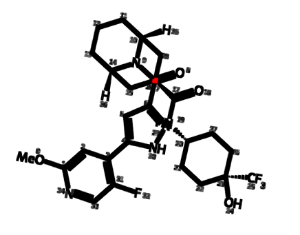 COc1cc(-c2cc(C(=O)N3[C@@H]4CCC[C@H]3C[C@H](C(=O)N[C@H]3CC[C@@](O)(C(F)(F)F)CC3)C4)n[nH]2)c(F)cn1